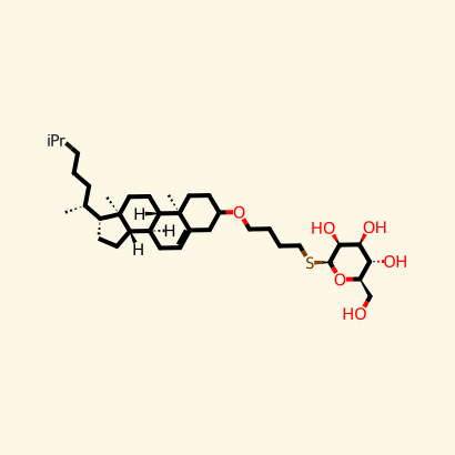 CC(C)CCC[C@@H](C)[C@H]1CC[C@H]2[C@@H]3CC=C4CC(OCCCCS[C@@H]5O[C@H](CO)[C@@H](O)[C@H](O)[C@@H]5O)CC[C@]4(C)[C@H]3CC[C@]12C